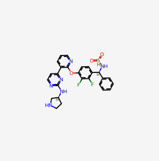 O=[SH](=O)N[C@@H](c1ccccc1)c1ccc(Oc2ncccc2-c2ccnc(N[C@H]3CCNC3)n2)c(F)c1F